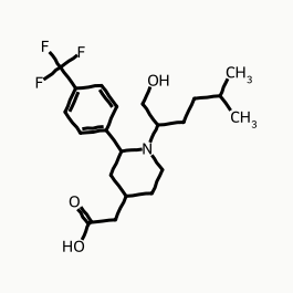 CC(C)CCC(CO)N1CCC(CC(=O)O)CC1c1ccc(C(F)(F)F)cc1